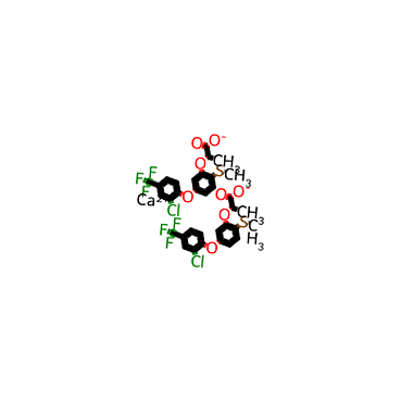 CSc1ccc(Oc2ccc(C(F)(F)F)cc2Cl)cc1OC(C)C(=O)[O-].CSc1ccc(Oc2ccc(C(F)(F)F)cc2Cl)cc1OC(C)C(=O)[O-].[Ca+2]